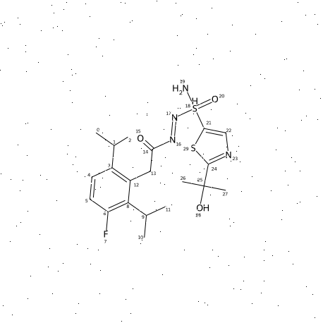 CC(C)c1ccc(F)c(C(C)C)c1CC(=O)/N=N/[SH](N)(=O)c1cnc(C(C)(C)O)s1